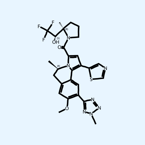 COc1cc2c(cc1-c1nnn(C)n1)-c1c(-c3cncs3)cc(C(=O)N3CCC[C@]3(C)[C@H](O)C(F)(F)F)n1[C@H](C)C2